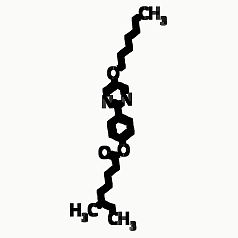 CCCCCCCOc1cnc(-c2ccc(OC(=O)CCCCC(C)CC)cc2)nc1